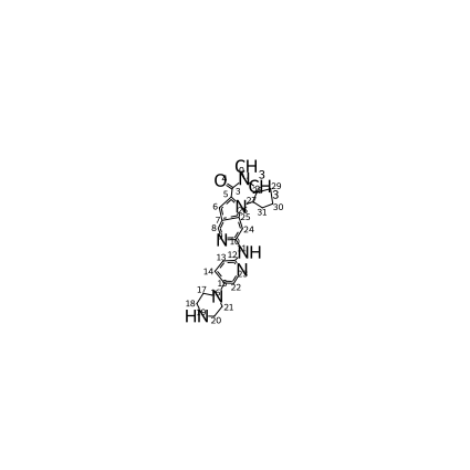 CN(C)C(=O)c1cc2cnc(Nc3ccc(N4CCNCC4)cn3)cc2n1C1CCCC1